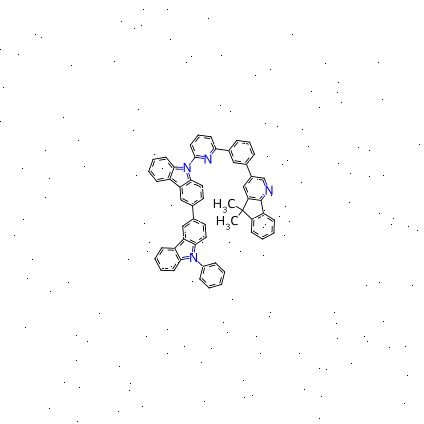 CC1(C)c2ccccc2-c2ncc(-c3cccc(-c4cccc(-n5c6ccccc6c6cc(-c7ccc8c(c7)c7ccccc7n8-c7ccccc7)ccc65)n4)c3)cc21